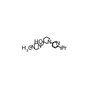 CC(C)c1ccc(N2CCCC(O)(CN3CCN(C)CC3)C2)cn1